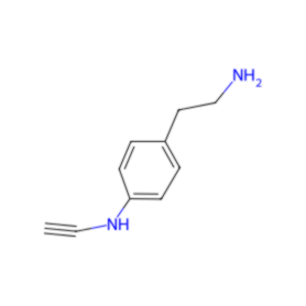 C#CNc1ccc(CCN)cc1